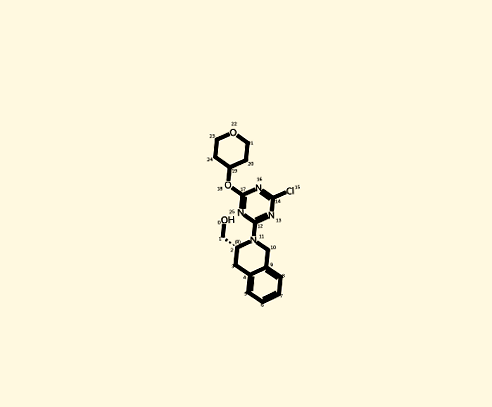 OC[C@H]1Cc2ccccc2CN1c1nc(Cl)nc(OC2CCOCC2)n1